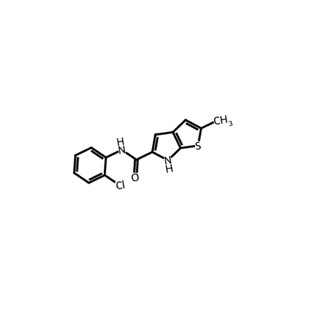 Cc1cc2cc(C(=O)Nc3ccccc3Cl)[nH]c2s1